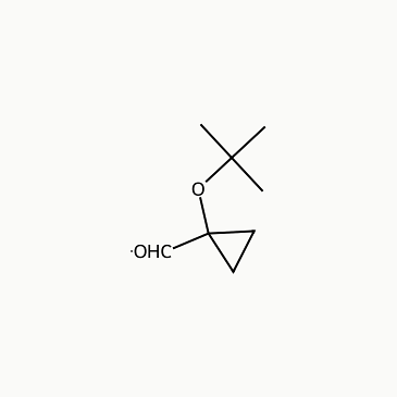 CC(C)(C)OC1([C]=O)CC1